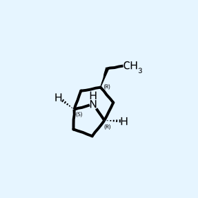 CC[C@H]1C[C@H]2CC[C@@H](C1)N2